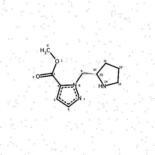 COC(=O)c1ccnn1C[C@@H]1CCCN1